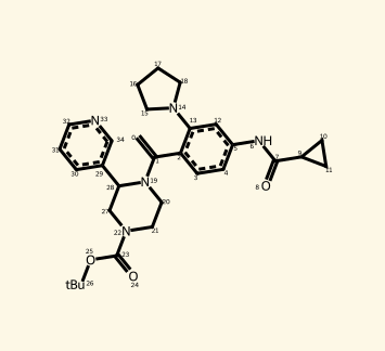 C=C(c1ccc(NC(=O)C2CC2)cc1N1CCCC1)N1CCN(C(=O)OC(C)(C)C)CC1c1cccnc1